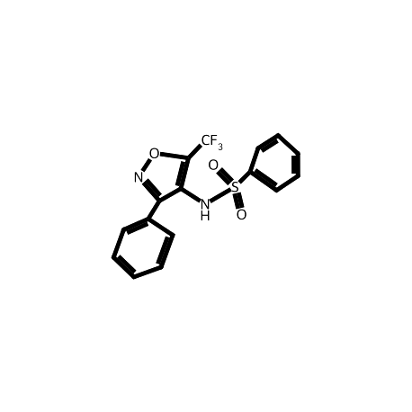 O=S(=O)(Nc1c(-c2ccccc2)noc1C(F)(F)F)c1ccccc1